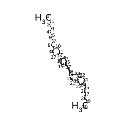 CCCCCCCCC[C@H]1CC[C@H](c2ccc(C#Cc3ccc4cc(CCCCCC)ccc4c3)cc2)CC1